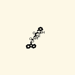 O=C(NCC(=O)C(=O)[C@H](Cc1ccccc1)NO)OCC1c2ccccc2-c2ccccc21